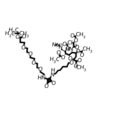 COC(=O)[C@@]1(OCCCCCCNc2c(NCCOCCOCCOCCOCCC(=O)OC(C)(C)C)c(=O)c2=O)C[C@H](OC(C)=O)[C@@H](NC(=O)COC(C)=O)[C@H]([C@H](OC(C)=O)[C@@H](CN=[N+]=[N-])OC(C)=O)O1